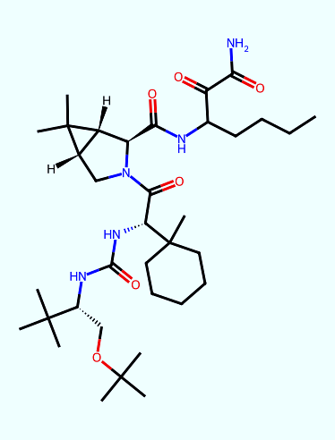 CCCCC(NC(=O)[C@@H]1[C@@H]2[C@H](CN1C(=O)[C@@H](NC(=O)N[C@H](COC(C)(C)C)C(C)(C)C)C1(C)CCCCC1)C2(C)C)C(=O)C(N)=O